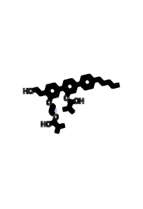 CCCCCc1ccc(-c2ccc(-c3ccc(CCO)c(O/C=C/OC(O)C(C)C)c3)c(OC(O)C(C)C)c2)cc1